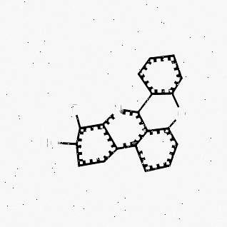 Oc1ccc2c(nc3c4c(cccc42)Oc2ccccc2-3)c1F